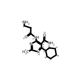 Cc1nc(NC(=O)CCN)c(C(N)=O)c(C2CCCCC2)n1